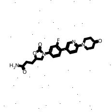 NC(=O)CCC1CN(c2ccc(-c3ccc(N4CCC(=O)CC4)nc3)c(F)c2)C(=O)O1